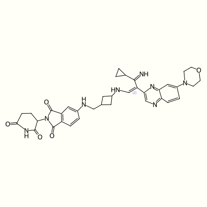 N=C(/C(=C\NC1CC(CNc2ccc3c(c2)C(=O)N(C2CCC(=O)NC2=O)C3=O)C1)c1cnc2ccc(N3CCOCC3)cc2n1)C1CC1